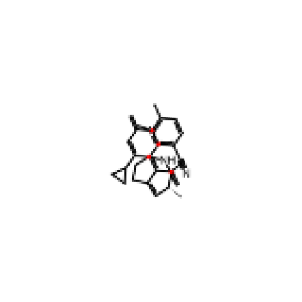 C=C(C)C(/C1=C\[C@@H](C)CNCCC1)=C(C(=C\C(=C)c1cc(C#N)ccc1C)/C1CC1)\C(C)=N/C